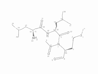 CSCC[C@@H](C=O)N(C(C)=O)C(=O)[C@H](CC(C)C)NC(=O)[C@@H](N)CC(C)C